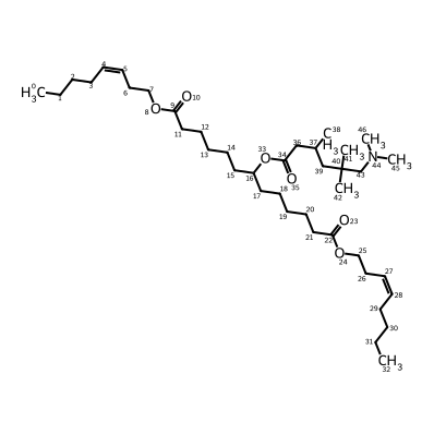 CCCC/C=C\CCOC(=O)CCCCCC(CCCCCC(=O)OCC/C=C\CCCC)OC(=O)CC(C)CC(C)(C)CN(C)C